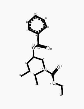 CCCC(CN(CC)C(=O)OCC)OC(=O)c1ccccc1